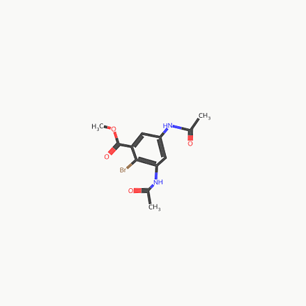 COC(=O)c1cc(NC(C)=O)cc(NC(C)=O)c1Br